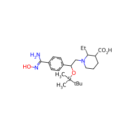 CCC1C(C(=O)O)CCCN1CC(O[Si](C)(C)C(C)(C)C)c1ccc(C(N)=NO)cc1